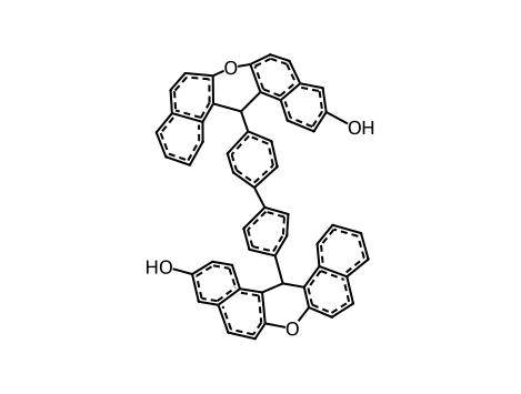 Oc1ccc2c3c(ccc2c1)Oc1ccc2ccccc2c1C3c1ccc(-c2ccc(C3c4c(ccc5ccccc45)Oc4ccc5cc(O)ccc5c43)cc2)cc1